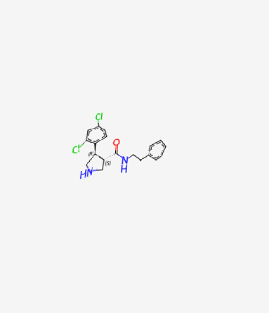 O=C(NCCc1ccccc1)[C@@H]1CNC[C@H]1c1ccc(Cl)cc1Cl